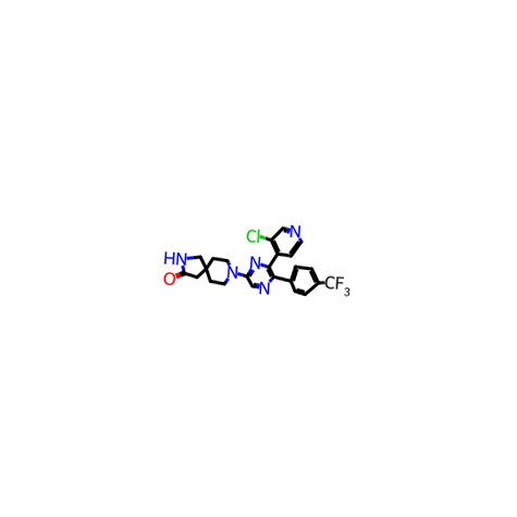 O=C1CC2(CCN(c3cnc(-c4ccc(C(F)(F)F)cc4)c(-c4ccncc4Cl)n3)CC2)CN1